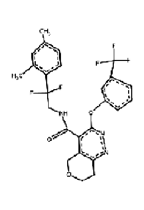 Cc1ccc(C(F)(F)CNC(=O)c2c(Oc3cccc(C(F)(F)F)c3)nnc3c2COCC3)c(C)c1